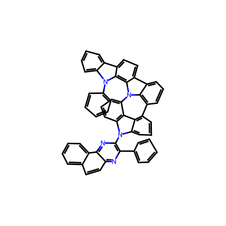 c1ccc(-c2nc3ccc4ccccc4c3nc2-n2c3cccc4c5cccc6c7ccc8c9ccccc9n(-c9ccccc9)c8c7n(c7cccc2c7c43)c56)cc1